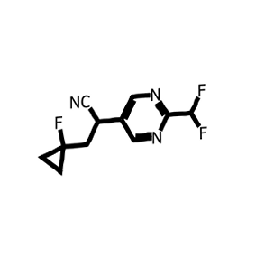 N#CC(CC1(F)CC1)c1cnc(C(F)F)nc1